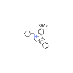 COc1ccc(C2CC3c4ccccc4C2CC32CCN(Cc3ccccc3)C2)cc1